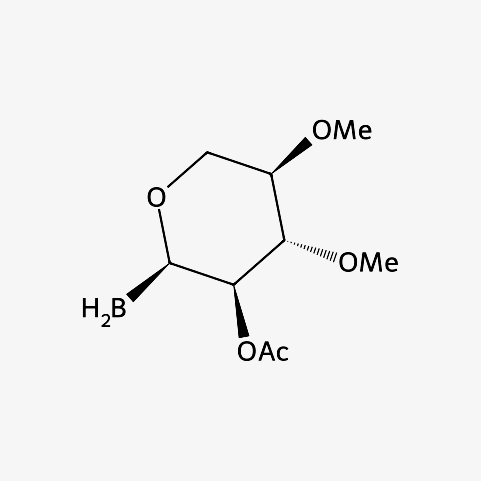 B[C@H]1OC[C@@H](OC)[C@H](OC)[C@H]1OC(C)=O